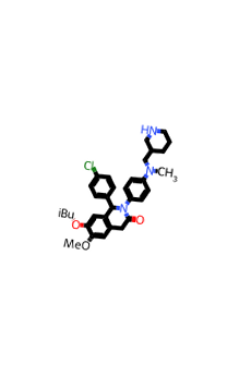 CCC(C)Oc1cc2c(cc1OC)CC(=O)N(c1ccc(N(C)CC3CCCNC3)cc1)C2c1ccc(Cl)cc1